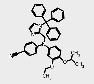 CCOc1cc(N(Cc2nccn2C(c2ccccc2)(c2ccccc2)c2ccccc2)c2ccc(C#N)cc2)ccc1OC(C)C